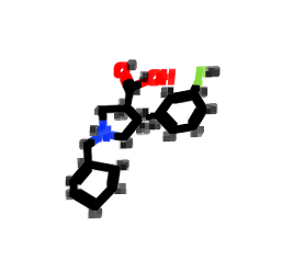 O=C(O)[C@@H]1CN(Cc2ccccc2)C[C@H]1c1cccc(F)c1